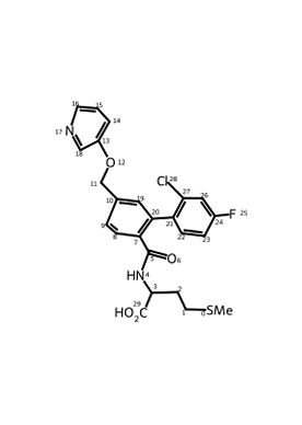 CSCCC(NC(=O)c1ccc(COc2cccnc2)cc1-c1ccc(F)cc1Cl)C(=O)O